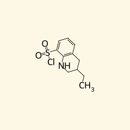 CCC1CNc2c(cccc2S(=O)(=O)Cl)C1